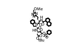 COCn1nnc(CC[C@H](NC(=O)c2cccc3ccccc23)C(=O)N2c3ccccc3C[C@H]2C(=O)N[C@@H](CC(=O)OC(C)(C)C)C(=O)COP(C)(=O)c2ccccc2)n1